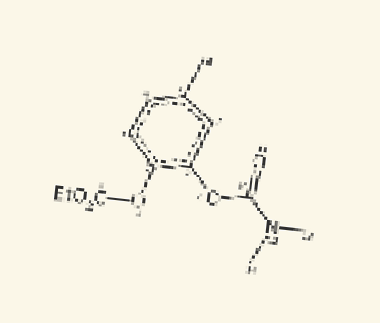 CCOC(=O)Oc1ccc(C)cc1OC(=O)N(C)C